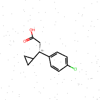 O=C(O)C[C@H](c1ccc(Cl)cc1)C1CC1